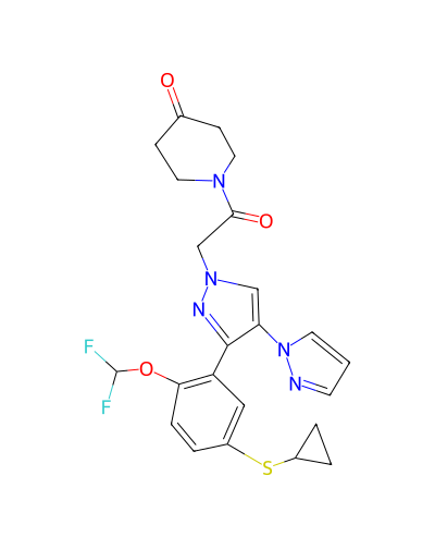 O=C1CCN(C(=O)Cn2cc(-n3cccn3)c(-c3cc(SC4CC4)ccc3OC(F)F)n2)CC1